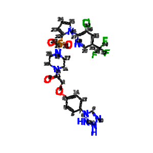 O=C(COc1ccc(N2C=NNN2)cc1)N1CCN(S(=O)(=O)c2cccn2-c2ncc(C(F)(F)F)cc2Cl)CC1